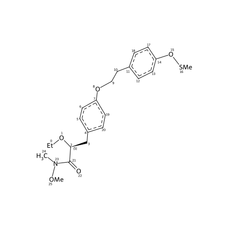 CCO[C@@H](Cc1ccc(OCCc2ccc(OSC)cc2)cc1)C(=O)N(C)OC